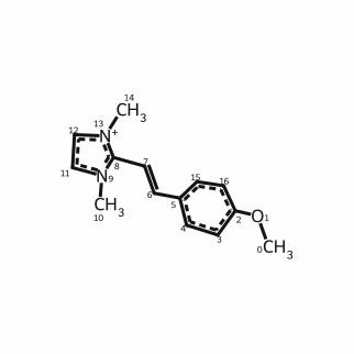 COc1ccc(C=Cc2n(C)cc[n+]2C)cc1